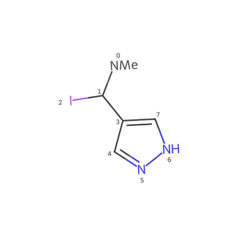 CNC(I)c1cn[nH]c1